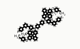 C=Cc1ccc(Oc2ccc(C3(c4cc(C)ccc4C)c4ccccc4-c4ccc(N(c5ccc(-c6ccc(N(c7ccc(-c8cccc(-c9ccc(F)cc9)c8)cc7)c7ccc8c(c7)C(c7ccc(Oc9ccc(C=C)cc9)cc7)(c7cc(C)ccc7C)c7ccccc7-8)cc6)cc5)c5ccc(-c6cccc(-c7ccc(F)cc7)c6)cc5)cc43)cc2)cc1